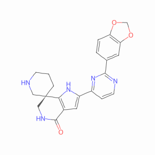 O=C1NC[C@@]2(CCCNC2)c2[nH]c(-c3ccnc(-c4ccc5c(c4)OCO5)n3)cc21